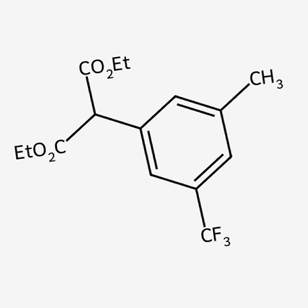 CCOC(=O)C(C(=O)OCC)c1cc(C)cc(C(F)(F)F)c1